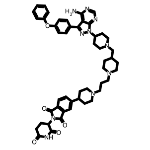 Nc1ncnc2c1c(-c1ccc(Oc3ccccc3)cc1)nn2C1CCN(CC2CCN(CCCN3CCC(c4ccc5c(c4)C(=O)N(C4CCC(=O)NC4=O)C5=O)CC3)CC2)CC1